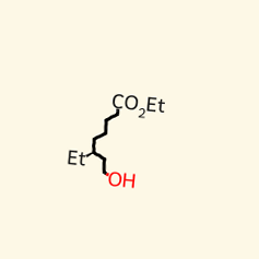 CCOC(=O)CCCC[C@H](CC)CCO